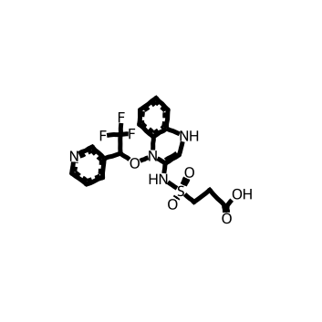 O=C(O)CCS(=O)(=O)NC1=CNc2ccccc2N1OC(c1cccnc1)C(F)(F)F